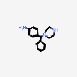 Nc1ccc(C(c2ccccc2)N2CCNCC2)cc1